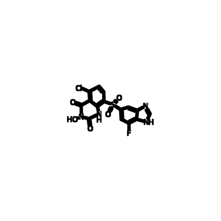 O=c1[nH]c2c(S(=O)(=O)c3cc(F)c4[nH]cnc4c3)ccc(Cl)c2c(=O)n1O